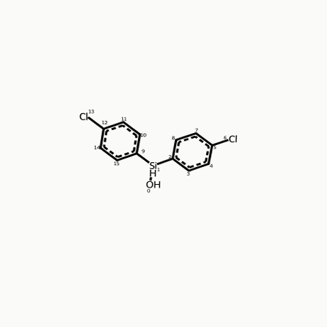 O[SiH](c1ccc(Cl)cc1)c1ccc(Cl)cc1